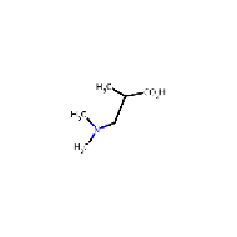 CC(CN(C)C)C(=O)O